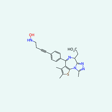 Cc1sc2c(c1C)C(c1ccc(C#CCCNO)cc1)=NC(CC(=O)O)c1nnc(C)n1-2